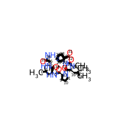 CC(C)C[C@H](NC(=O)[C@@H]1CCCN1C(=O)[C@H](CC(C)C)N(C)c1nc2ccccc2c(=O)o1)C(=O)NCC(N)=O